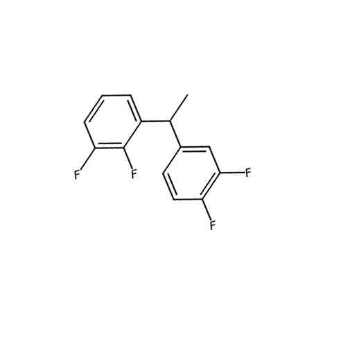 CC(c1ccc(F)c(F)c1)c1cccc(F)c1F